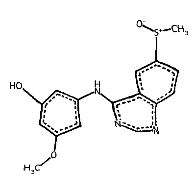 COc1cc(O)cc(Nc2ncnc3ccc([S+](C)[O-])cc23)c1